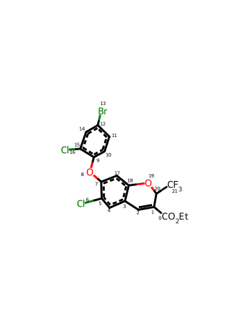 CCOC(=O)C1=Cc2cc(Cl)c(Oc3ccc(Br)cc3Cl)cc2OC1C(F)(F)F